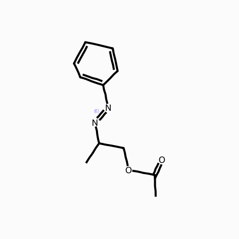 CC(=O)OCC(C)/N=N/c1ccccc1